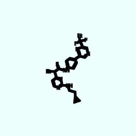 CCC(C(=S)Nc1ccc(-c2cncc(C(F)(F)CC)n2)cc1)c1ccnc(NCCC2CC2)n1